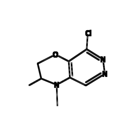 CC1COc2c(cnnc2Cl)N1C